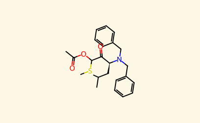 CSC(OC(C)=O)C(=O)[C@H](CC(C)C)N(Cc1ccccc1)Cc1ccccc1